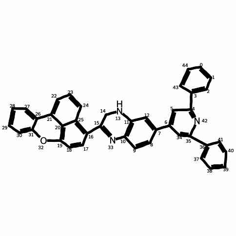 c1ccc(-c2cc(-c3ccc4c(c3)NCC(c3ccc5c6c(cccc36)-c3ccccc3O5)=N4)cc(-c3ccccc3)n2)cc1